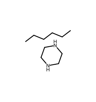 C1CNCCN1.CCCCCC